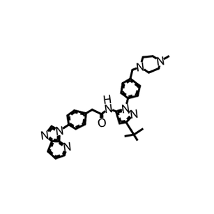 CN1CCN(Cc2ccc(-n3nc(C(C)(C)C)cc3NC(=O)Cc3ccc(-n4cnc5cccnc54)cc3)cc2)CC1